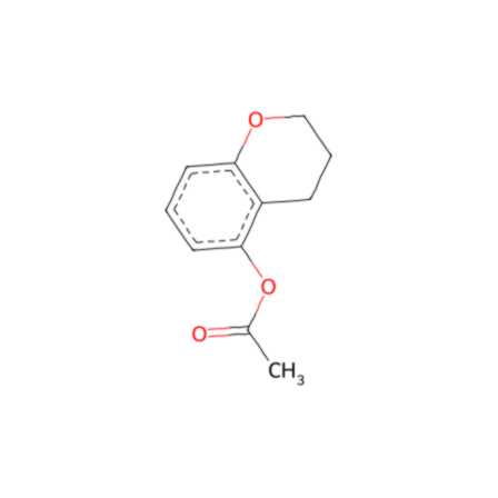 CC(=O)Oc1cccc2c1CCCO2